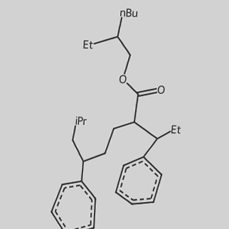 CCCCC(CC)COC(=O)C(CCC(CC(C)C)c1ccccc1)C(CC)c1ccccc1